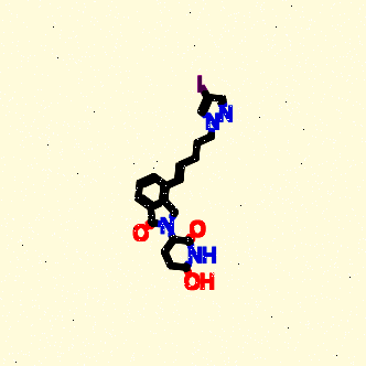 O=C1NC(O)CCC1N1Cc2c(/C=C/CCCn3cc(I)cn3)cccc2C1=O